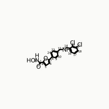 O=C(NO)c1ccc(-c2ccc(CNCc3cccc(Cl)c3Cl)cc2)o1